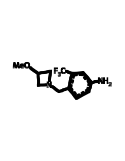 COC1CN(Cc2ccc(N)cc2C(F)(F)F)C1